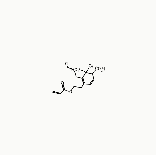 C=CC(=O)OCCC1=C(CCCCl)C(O)(C(=O)O)C(C(=O)O)C=C1